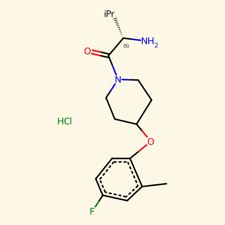 Cc1cc(F)ccc1OC1CCN(C(=O)[C@@H](N)C(C)C)CC1.Cl